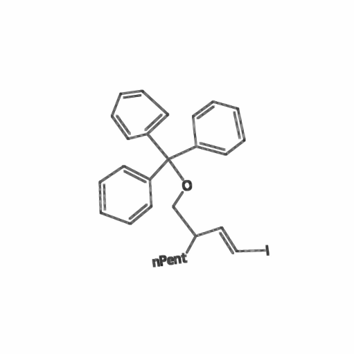 CCCCCC(C=CI)COC(c1ccccc1)(c1ccccc1)c1ccccc1